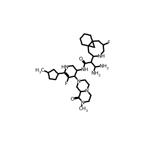 CC1CCC(C2=C(F)C(N3CCN4CCN(C)C(=O)C4C3)C(NC(=O)C(C(N)N)C3CC45CCCCC4(CC(F)CN3)C5)CN2)C1